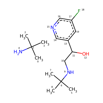 CC(C)(C)N.CC(C)(C)NCC(O)c1cncc(F)c1